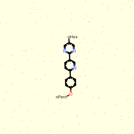 CCCCCCc1cnc(-c2ccc(-c3ccc(OCCCCC)cc3)nc2)nc1